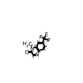 Cn1c(=O)cnc2ccc(C(F)(F)F)cc21